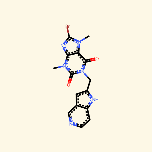 Cn1c(Br)nc2c1c(=O)n(Cc1cc3cnccc3[nH]1)c(=O)n2C